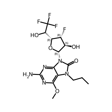 CCCn1c(=O)n([C@@H]2O[C@H](C(O)C(F)(F)F)[C@H](F)[C@H]2O)c2nc(N)nc(OC)c21